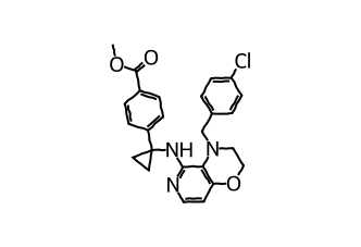 COC(=O)c1ccc(C2(Nc3nccc4c3N(Cc3ccc(Cl)cc3)CCO4)CC2)cc1